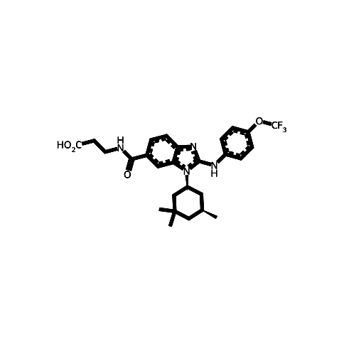 C[C@@H]1C[C@H](n2c(Nc3ccc(OC(F)(F)F)cc3)nc3ccc(C(=O)NCCC(=O)O)cc32)CC(C)(C)C1